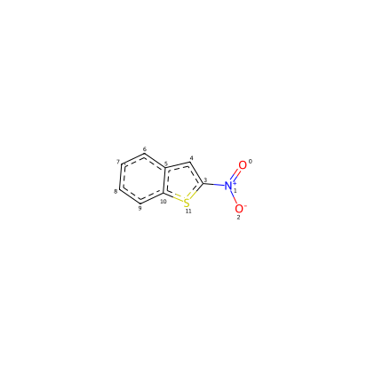 O=[N+]([O-])c1cc2c[c]ccc2s1